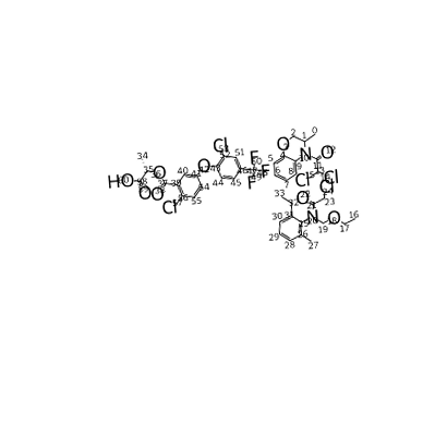 CC1COc2ccccc2N1C(=O)C(Cl)Cl.CCOCN(C(=O)CCl)c1c(C)cccc1CC.C[C@H](OC(=O)c1cc(Oc2ccc(C(F)(F)F)cc2Cl)ccc1Cl)C(=O)O